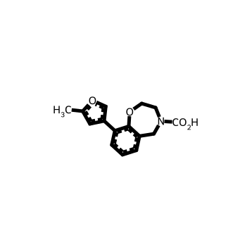 Cc1cc(-c2cccc3c2OCCN(C(=O)O)C3)co1